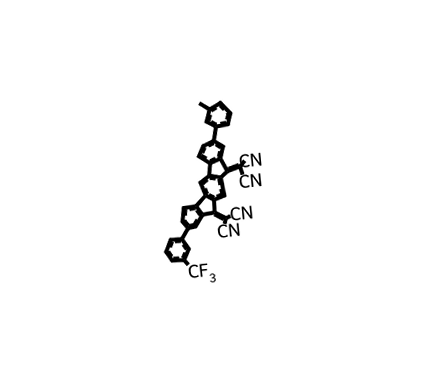 Cc1cccc(-c2ccc3c(c2)C(=C(C#N)C#N)c2cc4c(cc2-3)-c2ccc(-c3cccc(C(F)(F)F)c3)cc2C4=C(C#N)C#N)c1